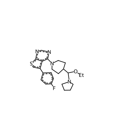 CCOC(C1CCN(c2ncnc3scc(-c4ccc(F)cc4)c23)CC1)N1CCCC1